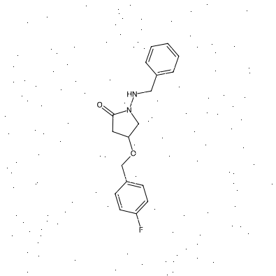 O=C1CC(OCc2ccc(F)cc2)CN1NCc1ccccc1